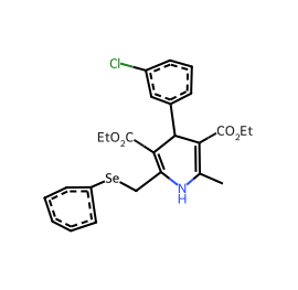 CCOC(=O)C1=C(C)NC(C[Se]c2ccccc2)=C(C(=O)OCC)C1c1cccc(Cl)c1